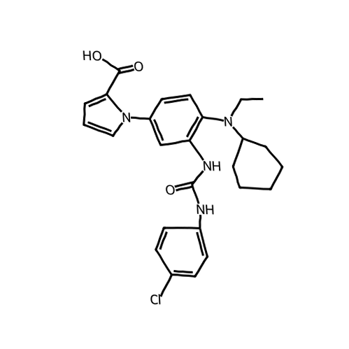 CCN(c1ccc(-n2cccc2C(=O)O)cc1NC(=O)Nc1ccc(Cl)cc1)C1CCCCC1